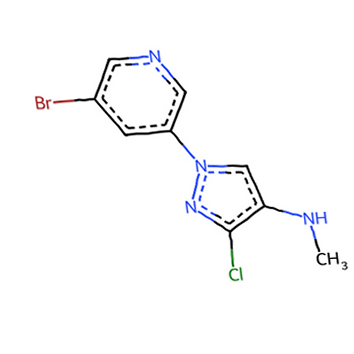 CNc1cn(-c2cncc(Br)c2)nc1Cl